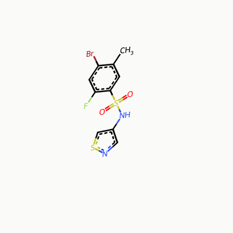 Cc1cc(S(=O)(=O)Nc2cnsc2)c(F)cc1Br